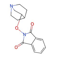 O=C1c2ccccc2C(=O)N1OC1CN2CCC1CC2